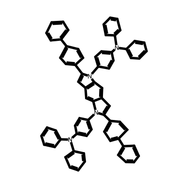 c1ccc(-c2ccc(-c3cc4cc5c(cc(-c6ccc(-c7ccccc7)cc6)n5-c5ccc(N(c6ccccc6)c6ccccc6)cc5)cc4n3-c3ccc(N(c4ccccc4)c4ccccc4)cc3)cc2)cc1